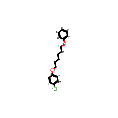 Clc1ccc(OCCCCCCOc2cc[c]cc2)cc1